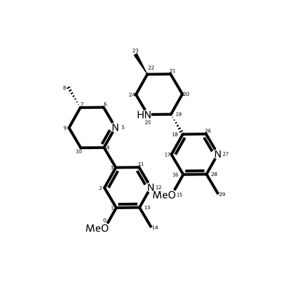 COc1cc(C2=NC[C@@H](C)CC2)cnc1C.COc1cc([C@H]2CC[C@H](C)CN2)cnc1C